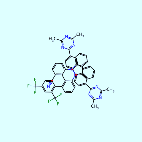 Cc1nc(C)nc(-c2ccc3c(c2)c2ccccc2n3-c2cccc(C#N)c2-c2c(-c3ccc(C(F)(F)F)cc3C(F)(F)F)cccc2-n2c3ccccc3c3cc(-c4nc(C)nc(C)n4)ccc32)n1